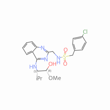 CO[C@@H](O)[C@@H](Nc1nc(CNS(=O)(=O)Cc2ccc(Cl)cc2)nc2ccccc12)C(C)C